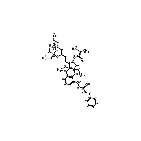 CCCCCC(CC[C@H]1[C@H](OC(=O)N(C)C)C[C@]2(CC)Cc3c(cccc3OCC(=O)OCc3ccccc3)C[C@]12CC)O[Si](CC)(CC)CC